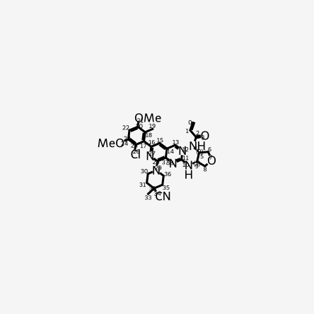 C=CC(=O)N[C@H]1COC[C@H]1Nc1ncc2cc(-c3c(C)c(OC)cc(OC)c3Cl)nc(N3CCC(C)(C#N)CC3)c2n1